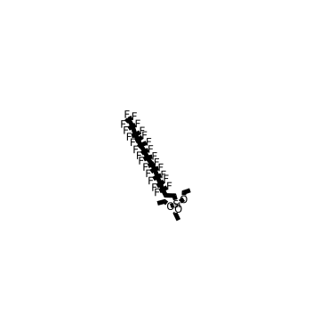 CCO[Si](CCC(F)(F)C(F)(F)C(F)(F)C(F)(F)C(F)(F)C(F)(F)C(F)(F)C(F)(F)C(F)(F)C(F)(F)C(F)(F)C(F)(F)F)(OCC)OCC